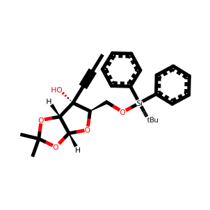 CC#C[C@@]1(O)[C@@H](CO[Si](c2ccccc2)(c2ccccc2)C(C)(C)C)O[C@@H]2OC(C)(C)O[C@@H]21